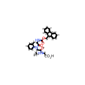 CC(C)C[C@H](NC(=O)[C@H](Cc1ccccc1)NC(=O)OCC1c2ccccc2-c2ccccc21)C(=O)NCC(=O)O